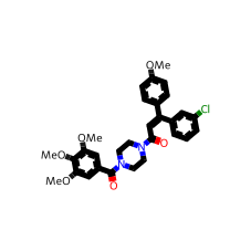 COc1ccc(C(=CC(=O)N2CCN(C(=O)c3cc(OC)c(OC)c(OC)c3)CC2)c2cccc(Cl)c2)cc1